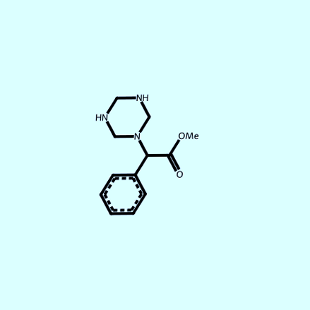 COC(=O)C(c1ccccc1)N1CNCNC1